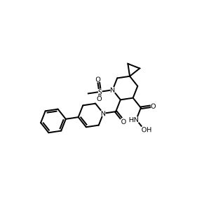 CS(=O)(=O)N1CC2(CC2)CC(C(=O)NO)C1C(=O)N1CC=C(c2ccccc2)CC1